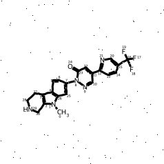 Cn1c2c(c3ccc(-n4ncc(-c5ccc(C(F)(F)F)cn5)cc4=O)cc31)CCNC2